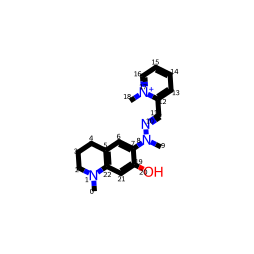 CN1CCCc2cc(N(C)/N=C/c3cccc[n+]3C)c(O)cc21